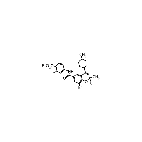 CCOC(=O)c1ccc(NC(=O)c2cc(Br)c3c(c2)C(C2CCC(C)CC2)=CC(C)(C)O3)cc1F